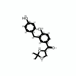 CC1(C)OCC(C(=O)c2ccc(Cl)c(Cc3ccc(O)cc3)c2)O1